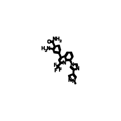 Cn1cc(-c2cn(-c3cccc4c(-c5ccc(C(N)=O)c(N)c5)cc(C(F)(F)F)nc34)cn2)cn1